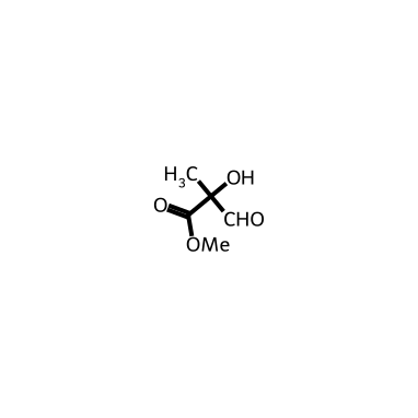 COC(=O)C(C)(O)C=O